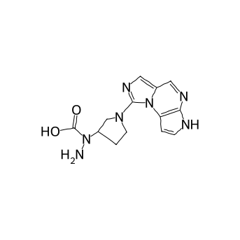 NN(C(=O)O)C1CCN(c2ncc3cnc4[nH]ccc4n23)C1